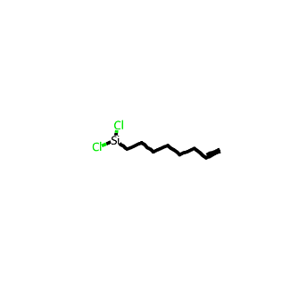 C=CCCCCCC[Si](Cl)Cl